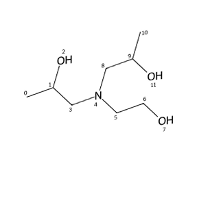 CC(O)CN(CCO)CC(C)O